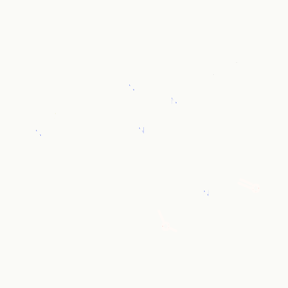 Cc1cc(-c2cnc(N3CC4(CC4)c4ccc(C(=O)N5CCOCC5)cc43)nc2)sn1